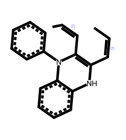 C/C=C\C1=C(/C=C\C)N(c2ccccc2)c2ccccc2N1